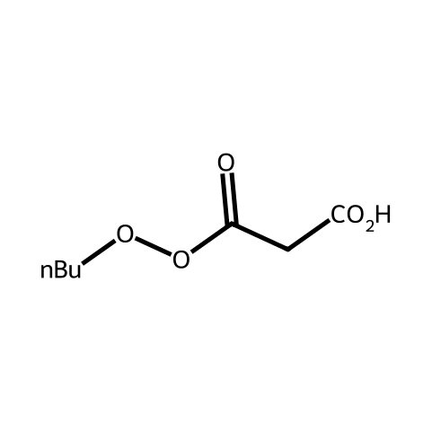 CCCCOOC(=O)CC(=O)O